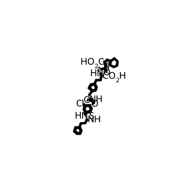 C[C@H](N[C@@H](CCc1ccc(CNS(=O)(=O)c2cc3c(cc2Cl)NC(CCc2ccccc2)NS3)cc1)C(=O)O)C(=O)N1C2CCCCC2C[C@H]1C(=O)O